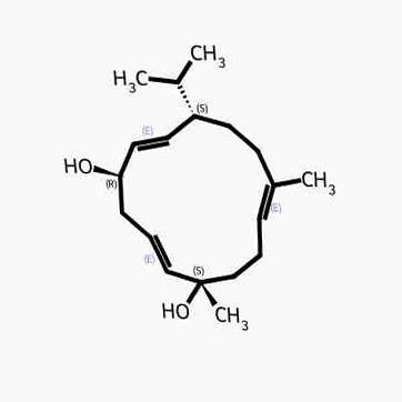 C/C1=C\CC[C@](C)(O)/C=C/C[C@@H](O)/C=C/[C@H](C(C)C)CC1